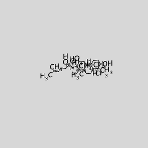 CC(C)=CCC[C@](C)(O)[C@H]1CC[C@]2(C)[C@@H]1C(O)C[C@@H]1[C@@]3(C)CCC(O)C(C)(C)[C@@H]3CC[C@]12C